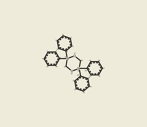 c1ccc([Si]2(c3ccccc3)CO[Si](c3ccccc3)(c3ccccc3)CO2)cc1